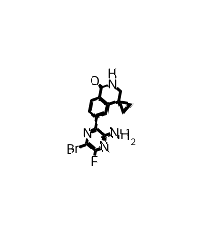 Nc1nc(F)c(Br)nc1-c1ccc2c(c1)C1(CC1)CNC2=O